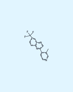 Cc1cnccc1-c1cnc2cc(C(F)(F)F)ccc2n1